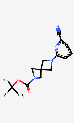 CC(C)(C)OC(=O)N1CC2(C1)CN(c1cccc(C#N)n1)C2